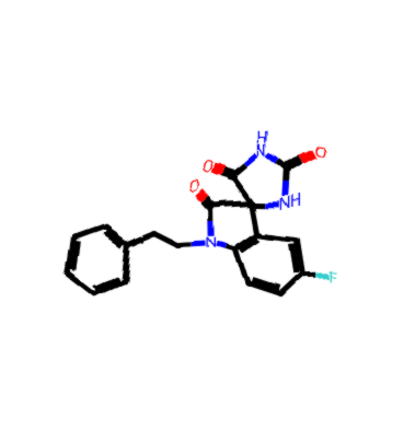 O=C1NC(=O)C2(N1)C(=O)N(CCc1ccccc1)c1ccc(F)cc12